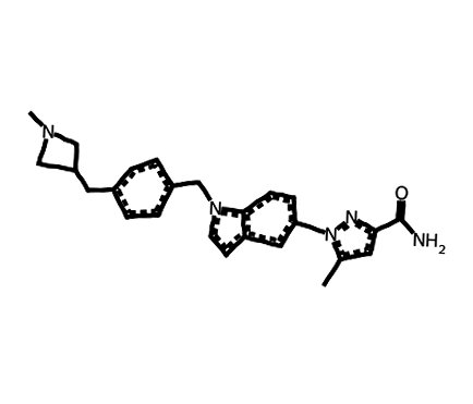 Cc1cc(C(N)=O)nn1-c1ccc2c(ccn2Cc2ccc(CC3CN(C)C3)cc2)c1